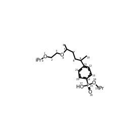 CC(C)OCCOC(C)CCC(C)c1ccc(P(=O)(O)OC(C)C)cc1